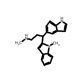 CNCCC(c1ccc2[nH]ccc2c1)c1cc2ccccc2n1C